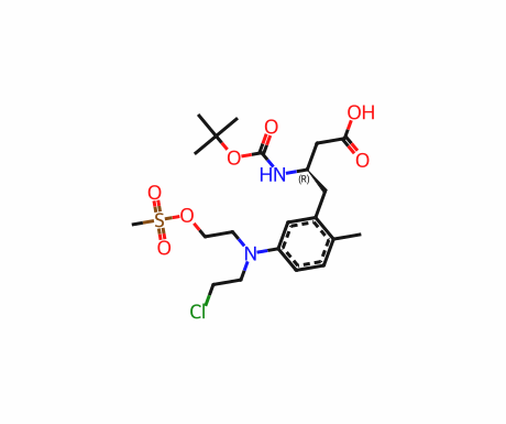 Cc1ccc(N(CCCl)CCOS(C)(=O)=O)cc1C[C@H](CC(=O)O)NC(=O)OC(C)(C)C